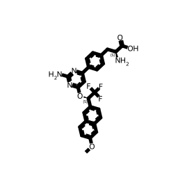 COc1ccc2cc([C@H](Oc3cc(-c4ccc(C[C@H](N)C(=O)O)cc4)nc(N)n3)C(F)(F)F)ccc2c1